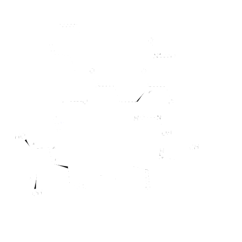 CCNC(=O)CCC/C=C\C[C@@H]1[C@@H](/C=C/[C@H](CCc2ccccc2)OC(=O)CCC[C@H](CON(O)O)O[N+](=O)[O-])[C@H](O)C[C@@H]1O